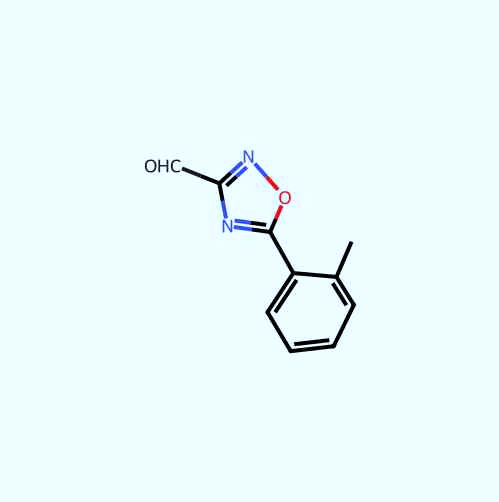 Cc1ccccc1-c1nc(C=O)no1